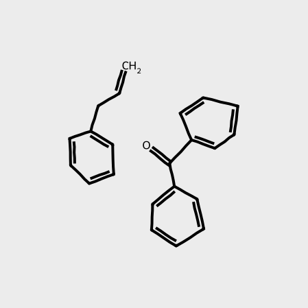 C=CCc1ccccc1.O=C(c1ccccc1)c1ccccc1